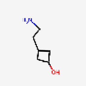 NCCC1CC(O)C1